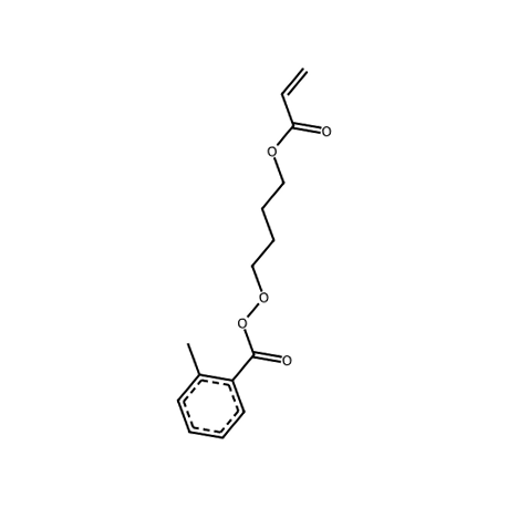 C=CC(=O)OCCCCOOC(=O)c1ccccc1C